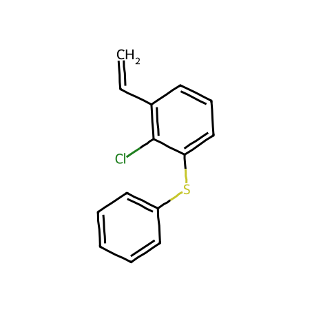 C=Cc1cccc(Sc2ccccc2)c1Cl